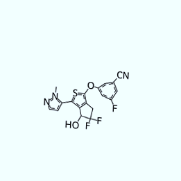 Cn1nccc1-c1sc(Oc2cc(F)cc(C#N)c2)c2c1C(O)C(F)(F)C2